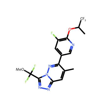 COC(F)(F)c1nnc2cc(C)c(-c3cnc(OC(C)C(F)(F)F)c(F)c3)nn12